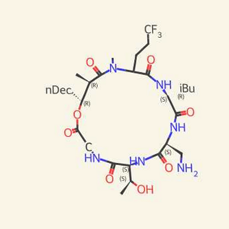 CCCCCCCCCC[C@H]1OC(=O)CNC(=O)[C@H]([C@H](C)O)NC(=O)[C@H](CN)NC(=O)[C@H]([C@H](C)CC)NC(=O)C(CCC(F)(F)F)N(C)C(=O)[C@@H]1C